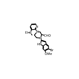 CCN(C)c1cccnc1N1CCN(c2cc3cc(Br)c(OC)cc3[nH]2)C(C=O)C1